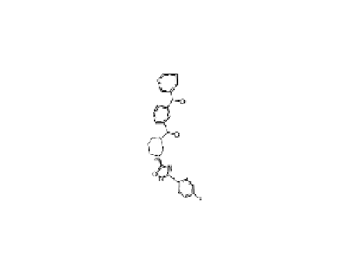 O=C(c1ccccc1)c1cccc(C(=O)N2CCC[C@H](c3nc(-c4ccc(F)cc4)no3)C2)c1